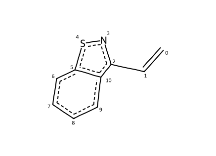 C=Cc1nsc2ccccc12